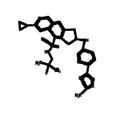 Cc1nnc(-c2ccc(N[C@@H]3Cc4cc5cnc(C6CC6)cc5c(S(=O)(=O)NCC(C)(C)F)c4C3)cn2)o1